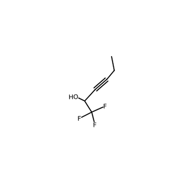 CCC#CC(O)C(F)(F)F